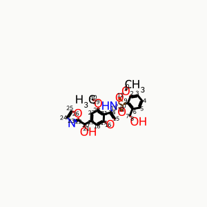 COc1cccc(CO)c1S(=O)(=O)Nc1coc2cc(C(O)c3ncco3)cc(OC)c12